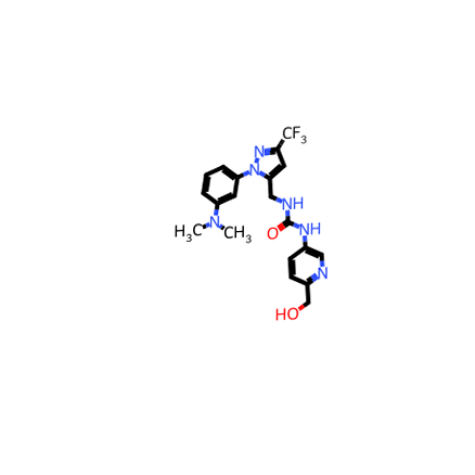 CN(C)c1cccc(-n2nc(C(F)(F)F)cc2CNC(=O)Nc2ccc(CO)nc2)c1